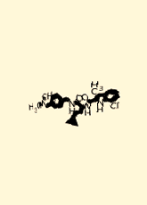 CC1=C(C(=O)NC(CCC2CC2)C(=O)NCc2ccc(CN(C)C)cc2)NC2C(Cl)=CC#CC12